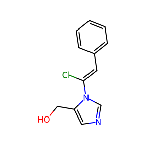 OCc1cncn1C(Cl)=Cc1ccccc1